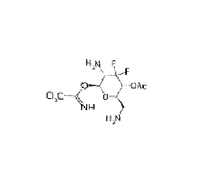 CC(=O)O[C@@H]1[C@@H](CN)O[C@@H](OC(=N)C(Cl)(Cl)Cl)[C@H](N)C1(F)F